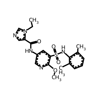 CCn1cncc1C(=O)Nc1cnc(OC)c(S(=O)(=O)Nc2c(C)cccc2C)c1